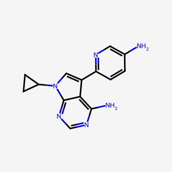 Nc1ccc(-c2cn(C3CC3)c3ncnc(N)c23)nc1